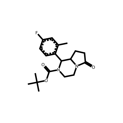 Cc1cc(F)ccc1C1C2CCC(=O)N2CCN1C(=O)OC(C)(C)C